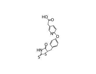 O=C(O)Cc1ccc(Oc2ccc(CC3SC(=S)NC3=O)cc2)nc1